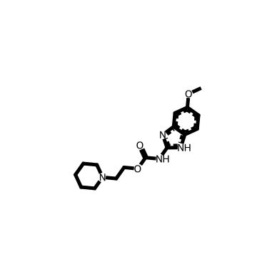 COc1ccc2[nH]c(NC(=O)OCCN3CCCCC3)nc2c1